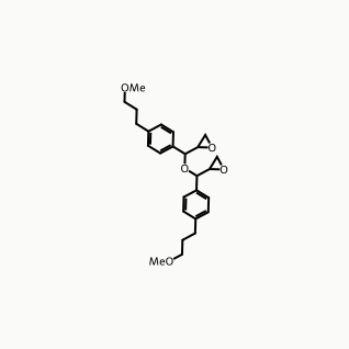 COCCCc1ccc(C(OC(c2ccc(CCCOC)cc2)C2CO2)C2CO2)cc1